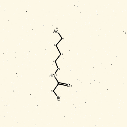 CC(=O)CCCCCNC(=O)CBr